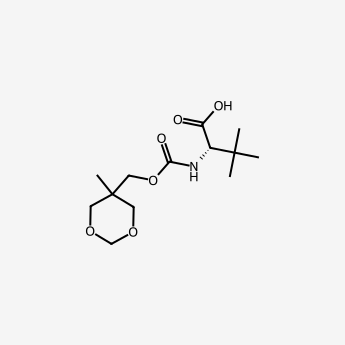 CC1(COC(=O)N[C@H](C(=O)O)C(C)(C)C)COCOC1